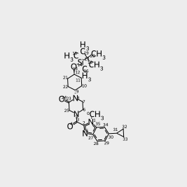 Cn1c(C(=O)N2CCN([C@H]3CC[C@H](O[Si](C)(C)C(C)(C)C)CC3)C(=O)C2)nc2ccc(C3CC3)cc21